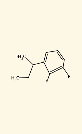 [CH2]C(CC)c1cccc(F)c1F